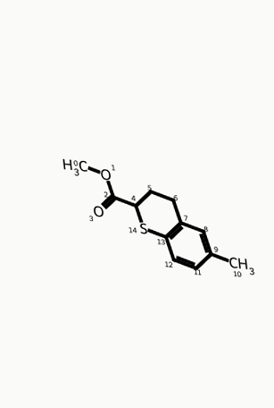 COC(=O)C1CCc2cc(C)ccc2S1